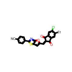 CCc1cc2c(cc1Cl)C(=O)/C(=C\c1cc3sc(-c4ccc(C#N)cc4)nc3o1)C2=O